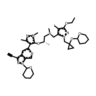 C#Cc1nn(C2CCCCO2)c2cnc(-c3c(C)nn(C)c3O[C@@H](C)CN(C)Cc3c(I)c(OCC)nn3CC3(OC4CCCCO4)CC3)cc12